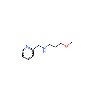 COCCCNCc1ccccn1